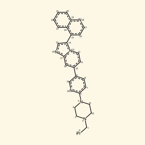 CC(C)CN1CCN(c2ccc(-c3ccn4c(-c5ccnc6ccccc56)cnc4c3)cn2)CC1